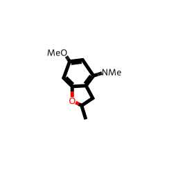 CNc1cc(OC)cc2c1CC(C)O2